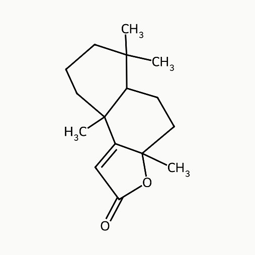 CC12CCC3C(C)(C)CCCC3(C)C1=CC(=O)O2